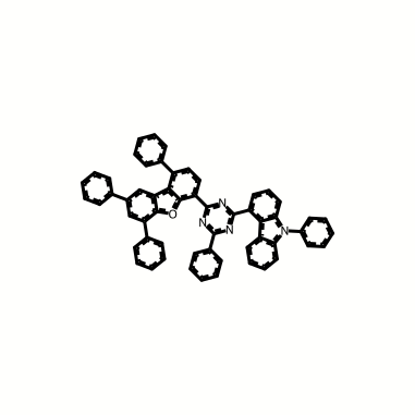 c1ccc(-c2cc(-c3ccccc3)c3oc4c(-c5nc(-c6ccccc6)nc(-c6cccc7c6c6ccccc6n7-c6ccccc6)n5)ccc(-c5ccccc5)c4c3c2)cc1